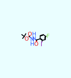 CC(C)(C)OC(=O)NNC(=O)c1ccc(F)cc1I